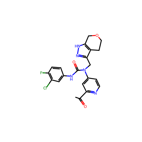 CC(=O)c1cc(N(Cc2n[nH]c3c2CCOC3)C(=O)Nc2ccc(F)c(Cl)c2)ccn1